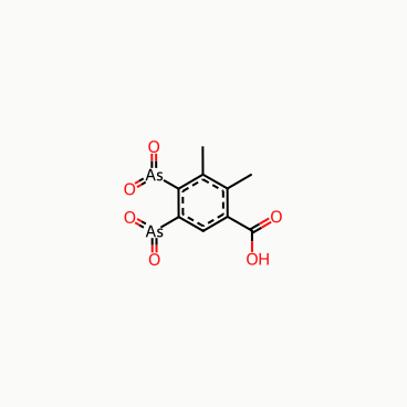 Cc1c(C(=O)O)cc([As](=O)=O)c([As](=O)=O)c1C